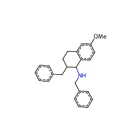 COc1ccc2c(c1)CCC(Cc1ccccc1)C2NCc1ccccc1